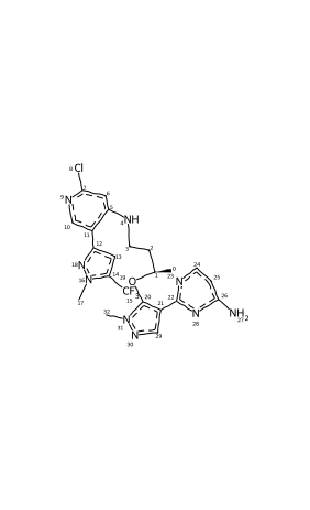 C[C@H](CCNc1cc(Cl)ncc1-c1cc(C(F)(F)F)n(C)n1)Oc1c(-c2nccc(N)n2)cnn1C